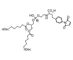 CCCCCCCCCCCCCCCC(=O)OC[C@H](COP(=O)(O)OCCNC(CCc1ccc(N2C(=O)C=CC2=O)cc1)C(=O)O)OC(=O)CCCCCCCCCCCCCCC